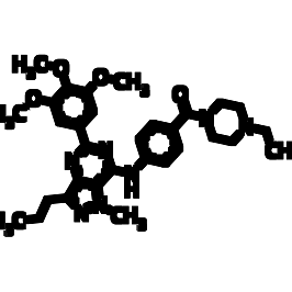 CCCc1nn(C)c2c(Nc3ccc(C(=O)N4CCN(CC)CC4)cc3)nc(-c3cc(OC)c(OC)c(OC)c3)nc12